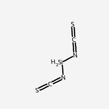 S=C=N[SiH2]N=C=S